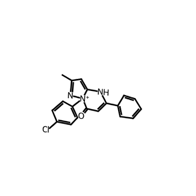 CC1=N[N+]2(c3ccc(Cl)cc3)C(=O)C=C(c3ccccc3)NC2=C1